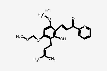 COCOc1cc(OC)c(C=CC(=O)c2ccccn2)c(O)c1CC=C(C)C.Cl